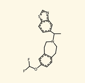 CC(c1ccc2scnc2c1)N1CCc2ccc(OC(F)F)cc2CC1